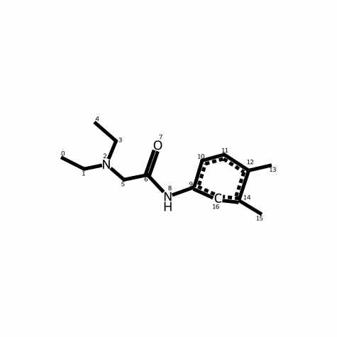 CCN(CC)CC(=O)Nc1ccc(C)c(C)c1